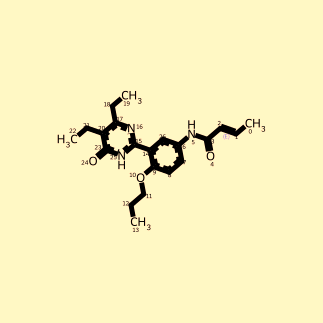 C/C=C/C(=O)Nc1ccc(OCCC)c(-c2nc(CC)c(CC)c(=O)[nH]2)c1